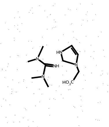 CN(C)C(=N)N(C)C.O=C(O)CN1C=CNC1